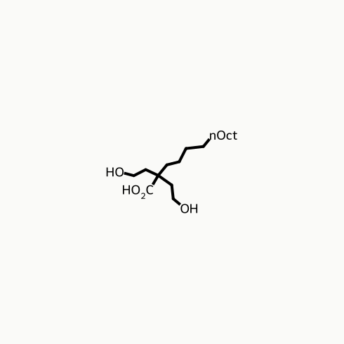 CCCCCCCCCCCCC(CCO)(CCO)C(=O)O